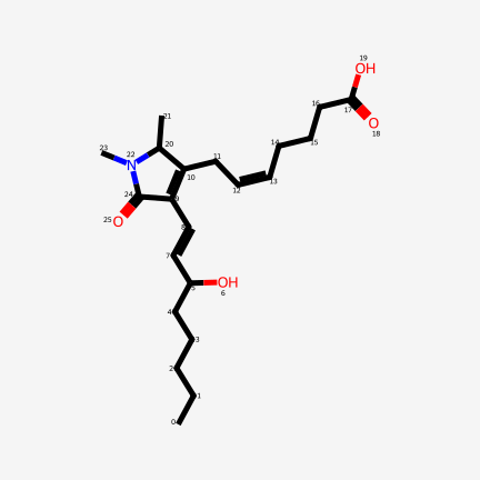 CCCCCC(O)/C=C/C1=C(C/C=C\CCCC(=O)O)C(C)N(C)C1=O